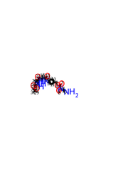 CON(CCN)C(=O)OCc1ccc(NC(=O)[C@H](C)NC(=O)[C@H](C)NC(=O)OC(C)(C)C)cc1